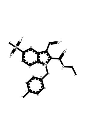 CCOC(=O)c1c(C=O)c2cc(S(C)(=O)=O)ccc2n1Cc1ccc(C)cc1